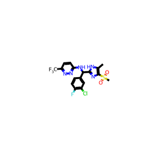 Cc1[nH]c(C(Nc2ccc(C(F)(F)F)nn2)c2ccc(F)c(Cl)c2)nc1S(C)(=O)=O